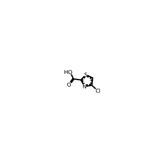 O=C(O)c1nc(Cl)cs1